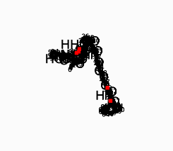 CCCN(C(=O)C[C@@H](OC)[C@H]([C@@H](C)CC)N(C)C(=O)[C@@H](NC(=O)[C@H](C(C)C)N(C)C(=O)CCCC(=O)NCCOCCOCCOCCOCCC(=O)NCCC(=O)N1Cc2ccccc2/C=C\c2ccccc21)C(C)C)[C@@H](C)[C@H](OC)[C@@H](C)C(=O)N[C@@H](Cc1ccccc1)C(=O)O